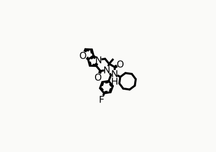 CC1(C(=O)NC2CCCCCCC2)Cn2c(cc3occc32)C(=O)N1Cc1ccc(F)cc1